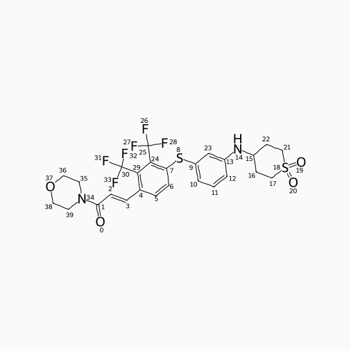 O=C(/C=C/c1ccc(Sc2cccc(NC3CCS(=O)(=O)CC3)c2)c(C(F)(F)F)c1C(F)(F)F)N1CCOCC1